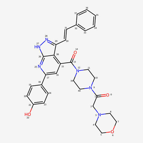 O=C(CN1CCOCC1)N1CCN(C(=O)c2cc(-c3ccc(O)cc3)nc3[nH]nc(/C=C/c4ccccc4)c23)CC1